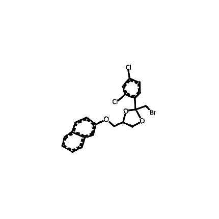 Clc1ccc(C2(CBr)OCC(COc3ccc4ccccc4c3)O2)c(Cl)c1